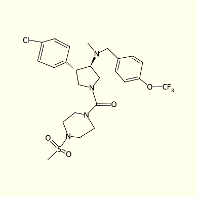 CN(Cc1ccc(OC(F)(F)F)cc1)[C@H]1CN(C(=O)N2CCN(S(C)(=O)=O)CC2)C[C@@H]1c1ccc(Cl)cc1